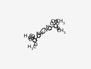 COc1cc(OC)c(OC)c(-c2ccc(N3CCCN(c4ccc(-c5cc(OC)cc(OC)c5OC)cn4)CC3)nc2)c1